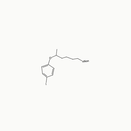 CCCCCCCCCCCCCC(C)Oc1ccc(I)cc1